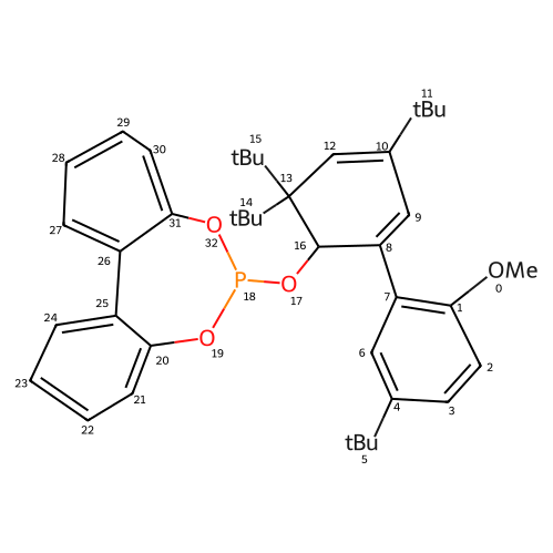 COc1ccc(C(C)(C)C)cc1C1=CC(C(C)(C)C)=CC(C(C)(C)C)(C(C)(C)C)C1Op1oc2ccccc2c2ccccc2o1